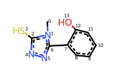 Cn1c(S)nnc1-c1ccccc1O